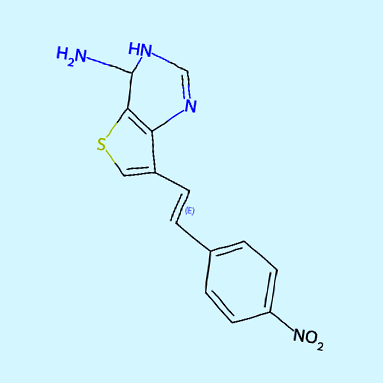 NC1NC=Nc2c(/C=C/c3ccc([N+](=O)[O-])cc3)csc21